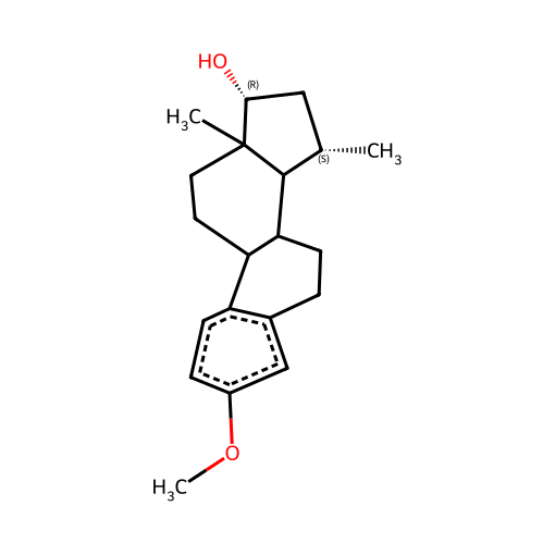 COc1ccc2c(c1)CCC1C2CCC2(C)C1[C@@H](C)C[C@H]2O